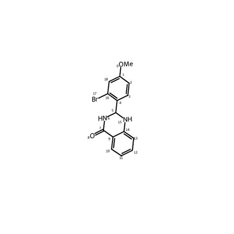 COc1ccc(C2NC(=O)c3ccccc3N2)c(Br)c1